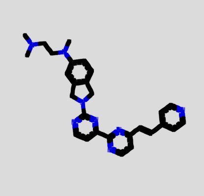 CN(C)CCN(C)c1ccc2c(c1)CN(c1nccc(-c3nccc(/C=C/c4ccncc4)n3)n1)C2